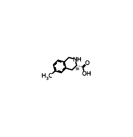 Cc1ccc2c(c1)C[C@@H](C(=O)O)NC2